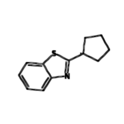 c1ccc2sc([C]3CCCC3)nc2c1